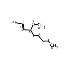 CCCCCC(/C=C/I)OC